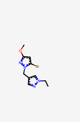 CCn1cc(Cn2nc(OC)cc2Br)cn1